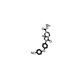 CC(C)(C)OC(=O)N1CCN2C(=O)N(c3ccc(Oc4ccc(C#N)cc4)cc3)C[C@@H]2C1